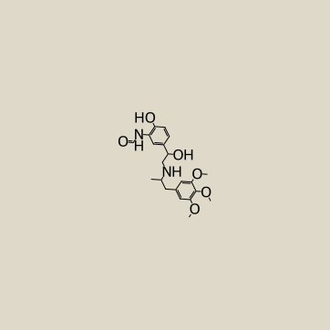 COc1cc(CC(C)NCC(O)c2ccc(O)c(NC=O)c2)cc(OC)c1OC